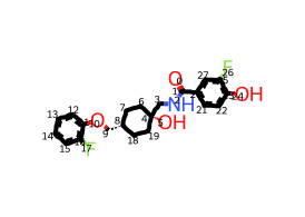 O=C(NC[C@]1(O)CC[C@@H](COc2ccccc2F)CC1)c1ccc(O)c(F)c1